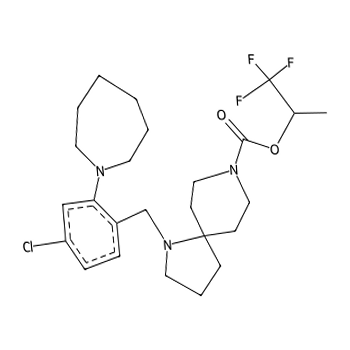 CC(OC(=O)N1CCC2(CCCN2Cc2ccc(Cl)cc2N2CCCCCC2)CC1)C(F)(F)F